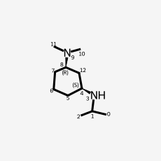 CC(C)N[C@H]1CCC[C@@H](N(C)C)C1